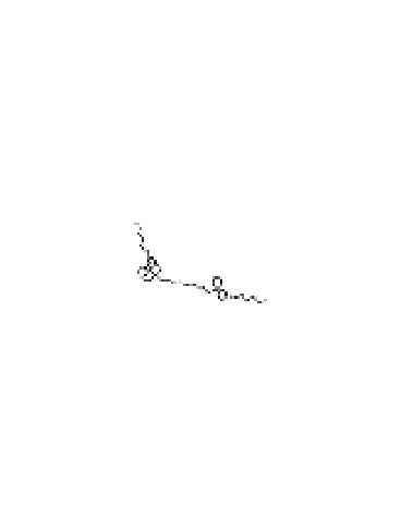 CCCCCCCOC(=O)CCCCCCCCCC(CC)(CC)C(=O)OCCCCCCC